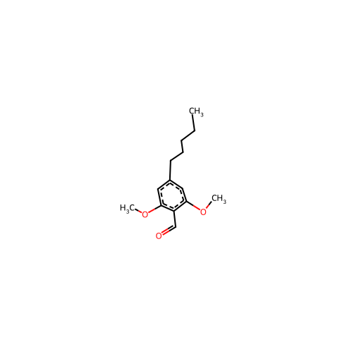 CCCCCc1cc(OC)c(C=O)c(OC)c1